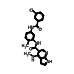 CNc1c(C(=O)Nc2cc(NC(=O)c3cccc(Cl)c3)ccc2C)cnc2[nH]ccc12